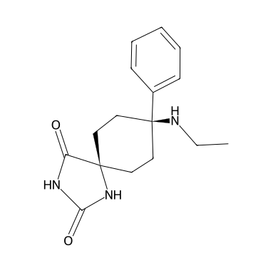 CCN[C@]1(c2ccccc2)CC[C@@]2(CC1)NC(=O)NC2=O